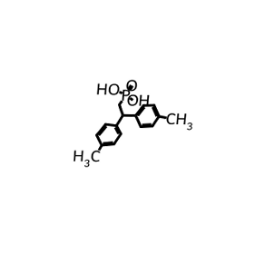 Cc1ccc(C(CP(=O)(O)O)c2ccc(C)cc2)cc1